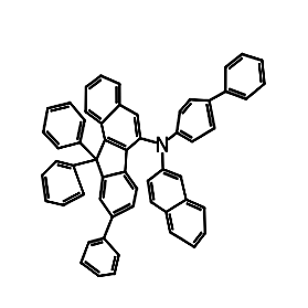 c1ccc(-c2ccc(N(c3ccc4ccccc4c3)c3cc4ccccc4c4c3-c3ccc(-c5ccccc5)cc3C4(c3ccccc3)c3ccccc3)cc2)cc1